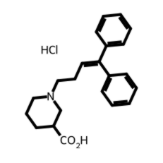 Cl.O=C(O)C1CCCN(CCC=C(c2ccccc2)c2ccccc2)C1